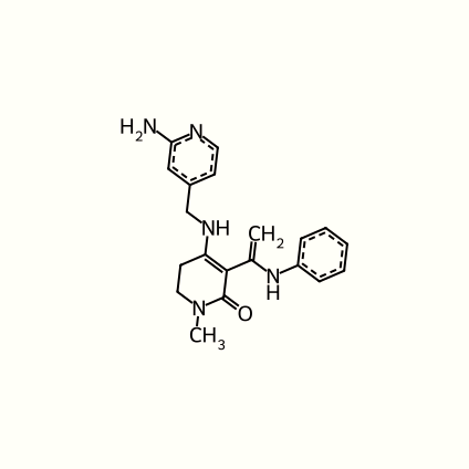 C=C(Nc1ccccc1)C1=C(NCc2ccnc(N)c2)CCN(C)C1=O